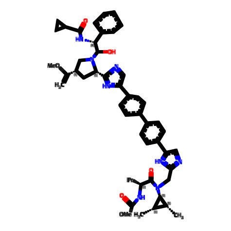 C=C(OC)[C@H]1C[C@@H](c2ncc(-c3ccc(-c4ccc(-c5cnc(CN(C(=O)[C@@H](NC(=O)OC)C(C)C)[C@H]6[C@H](C)[C@@H]6C)[nH]5)cc4)cc3)[nH]2)N(C(O)[C@H](NC(=O)C2CC2)c2ccccc2)C1